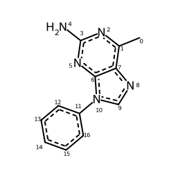 Cc1nc(N)nc2c1ncn2-c1ccccc1